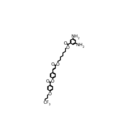 Nc1cc(N)cc(C(=O)OCCCCCCCOC(=O)C=Cc2ccc(OC(=O)c3ccc(OCCCC(F)(F)F)cc3)cc2)c1